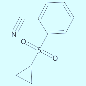 C#N.O=S(=O)(c1ccccc1)C1CC1